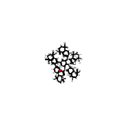 CC1(C)CCC(C)(C)c2cc(N3c4cc5c(cc4B4c6oc7c(c6N(c6ccc8c(c6)C(C)(C)CCC8(C)C)c6cc(-c8cc9c(cc8-c8ccccc8)C(C)(C)CCC9(C)C)cc3c64)C(C)(C)CCC7(C)C)C(C)(C)CCC5(C)C)ccc21